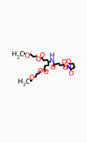 C=COCCCOC(=O)CCC(CCC(=O)OCCCOC=C)NC(=O)CCC(=O)ON1C(=O)CCC1=O